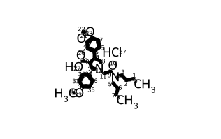 CCCCN(CCCC)C(=O)CN1CC(c2ccc3c(c2)OCO3)[C@H](C(=O)O)[C@H]1c1ccc(OC)cc1.Cl